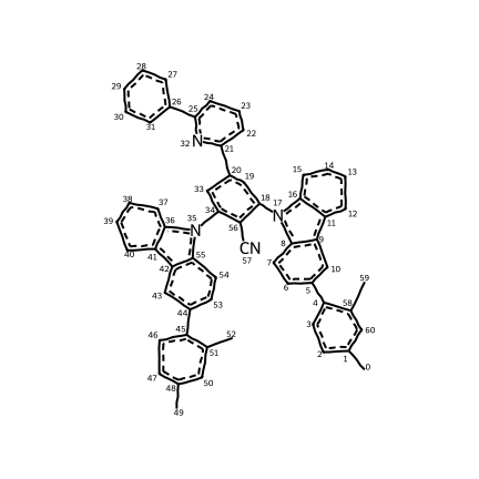 Cc1ccc(-c2ccc3c(c2)c2ccccc2n3-c2cc(-c3cccc(-c4ccccc4)n3)cc(-n3c4ccccc4c4cc(-c5ccc(C)cc5C)ccc43)c2C#N)c(C)c1